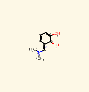 CN(C)/C=C1\C=CC=C(O)C1O